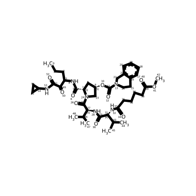 CCCC(NC(=O)[C@@H]1C[C@H](OC(=O)N2CCc3ccccc3C2)CN1C(=O)[C@@H](NC(=O)[C@H](NC(=O)CCCCC(=O)OC)C(C)C)C(C)C)C(=O)C(=O)NC1CC1